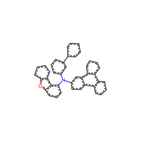 c1ccc(-c2cccc(N(c3ccc4c5ccccc5c5ccccc5c4c3)c3cccc4oc5ccccc5c34)c2)cc1